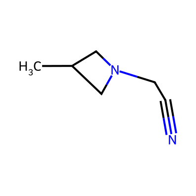 CC1CN(CC#N)C1